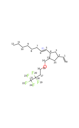 C=CC1CC(/C=C/CCCCCC)C(COCCC(F)(F)C(F)(F)F)C1